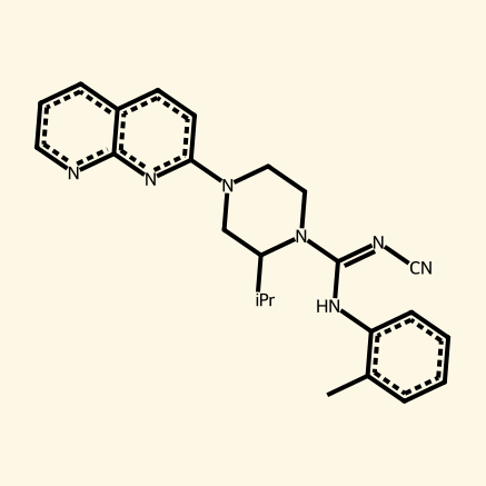 Cc1ccccc1N/C(=N\C#N)N1CCN(c2ccc3cccnc3n2)CC1C(C)C